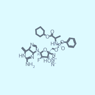 C=C1NC(N)=NC2C1N=CN2[C@@H]1O[C@@](COP(=O)(NC(C)C(=O)OC2CCCCC2)Oc2ccccc2)(N=[N+]=[N-])[C@@H](O)[C@H]1F